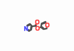 O=C(OC1=CCOC=C1)c1ccncc1